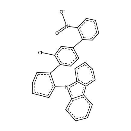 O=[N+]([O-])c1ccccc1-c1ccc(-c2ccccc2-n2c3ccccc3c3ccccc32)c(Cl)c1